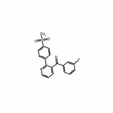 CS(=O)(=O)c1ccc(-c2ncccc2C(=O)c2cccc(F)c2)cc1